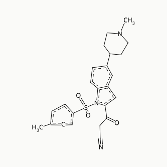 Cc1ccc(S(=O)(=O)n2c(C(=O)CC#N)cc3cc(C4CCN(C)CC4)ccc32)cc1